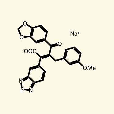 COc1cccc(CC(C(=O)c2ccc3c(c2)OCO3)=C(C(=O)[O-])c2ccc3nsnc3c2)c1.[Na+]